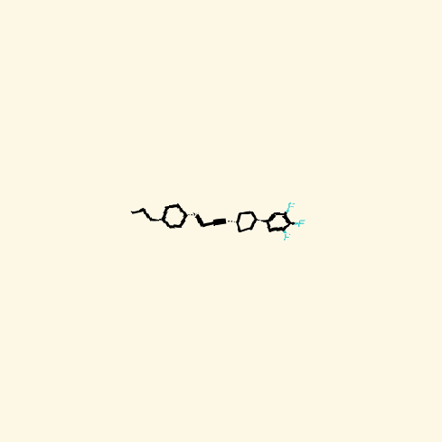 CCC[C@H]1CC[C@H](C=CC#C[C@H]2CC[C@H](c3cc(F)c(F)c(F)c3)CC2)CC1